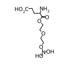 NC(CCC(=O)O)C(=O)OCCOCCON(O)O